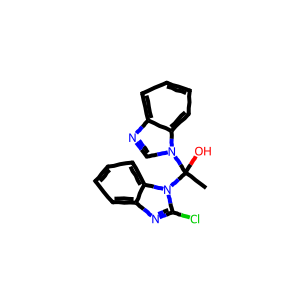 CC(O)(n1cnc2ccccc21)n1c(Cl)nc2ccccc21